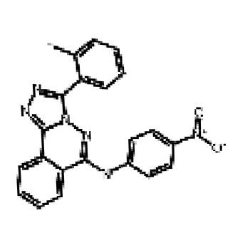 O=[N+]([O-])c1ccc([N]c2nn3c(-c4ccccc4F)nnc3c3ccccc23)cc1